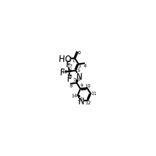 C=C(O)/C(C)=C(/N=C(\C)c1cccnc1)C(F)(F)F